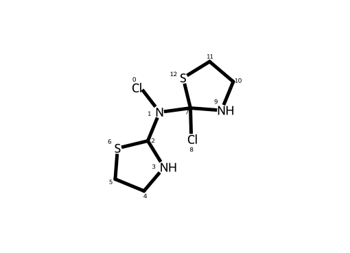 ClN(C1NCCS1)C1(Cl)NCCS1